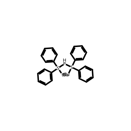 CC(C)(C)S(PS(c1ccccc1)(c1ccccc1)C(C)(C)C)(c1ccccc1)c1ccccc1